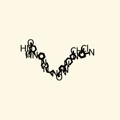 CC1CC2(CCN(c3ccc(C(=O)N4CC(CN5CCN(c6cccc(NC7CCC(=O)NC7=O)c6)CC5)C4)nn3)CC2)CN1c1ccc(C#N)c(Cl)c1